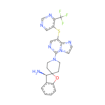 N[C@@H]1c2ccccc2OC12CCN(c1ncc(Sc3cncnc3C(F)(F)F)c3nccn13)CC2